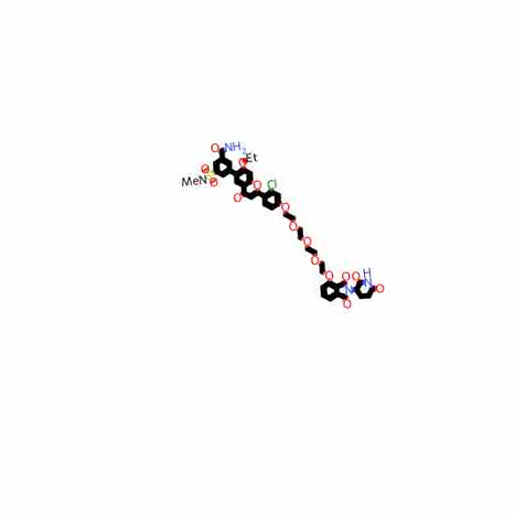 CCOc1cc2oc(-c3ccc(OCCOCCOCCOCCOc4cccc5c4C(=O)N(C4CCC(=O)NC4=O)C5=O)cc3Cl)cc(=O)c2cc1-c1cc(C(N)=O)cc(S(=O)(=O)NC)c1